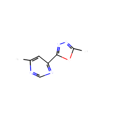 Cc1cc(-c2nnc(C)o2)ncn1